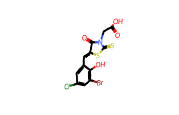 O=C(O)CN1C(=O)C(=Cc2cc(Cl)cc(Br)c2O)SC1=S